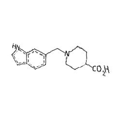 O=C(O)C1CCN(Cc2ccc3cc[nH]c3c2)CC1